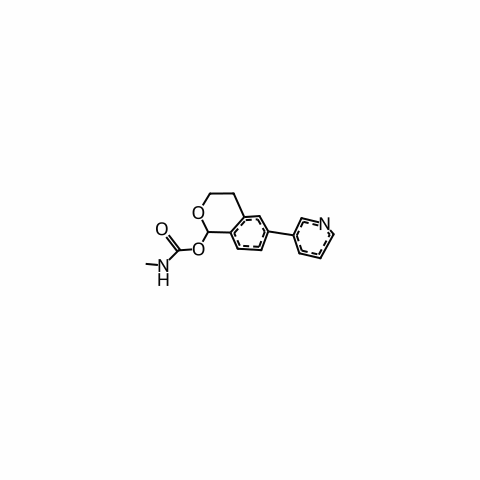 CNC(=O)OC1OCCc2cc(-c3cccnc3)ccc21